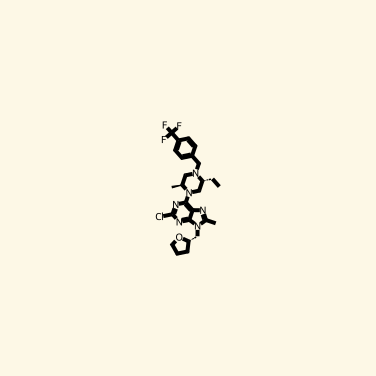 CC[C@@H]1CN(c2nc(Cl)nc3c2nc(C)n3C[C@@H]2CCCO2)[C@@H](C)CN1Cc1ccc(C(F)(F)F)cc1